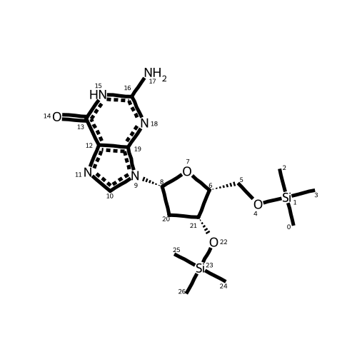 C[Si](C)(C)OC[C@H]1O[C@@H](n2cnc3c(=O)[nH]c(N)nc32)C[C@H]1O[Si](C)(C)C